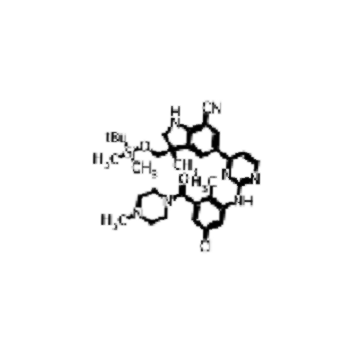 Cc1c(Nc2nccc(-c3cc(C#N)c4c(c3)C(C)(CO[Si](C)(C)C(C)(C)C)CN4)n2)cc(Cl)cc1C(=O)N1CCN(C)CC1